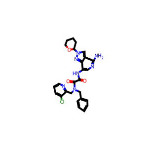 Nc1ncc(NC(=O)C(=O)N(Cc2ccccc2)Cc2ncccc2Cl)c2nn(C3CCCCO3)cc12